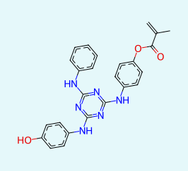 C=C(C)C(=O)Oc1ccc(Nc2nc(Nc3ccccc3)nc(Nc3ccc(O)cc3)n2)cc1